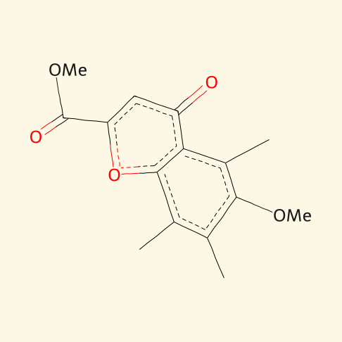 COC(=O)c1cc(=O)c2c(C)c(OC)c(C)c(C)c2o1